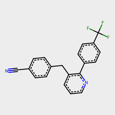 N#Cc1ccc(Cc2cccnc2-c2ccc(C(F)(F)F)cc2)cc1